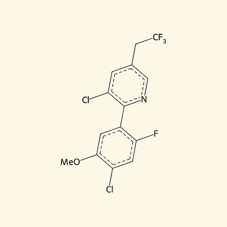 COc1cc(-c2ncc(CC(F)(F)F)cc2Cl)c(F)cc1Cl